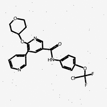 O=C(Nc1ccc(OC(F)(F)Cl)cc1)c1cnc(OC2CCOCC2)c(-c2cccnc2)c1